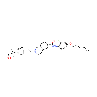 CCCCCCOc1ccc(NC(=O)c2ccc3c(c2)CCN(CCc2ccc(C(C)(C)CO)cc2)C3)c(F)c1